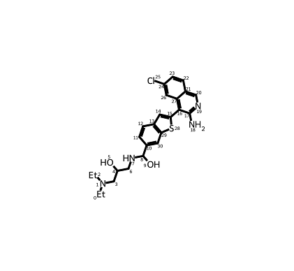 CCN(CC)CC(O)CNC(O)c1ccc2cc(-c3c(N)ncc4ccc(Cl)cc34)sc2c1